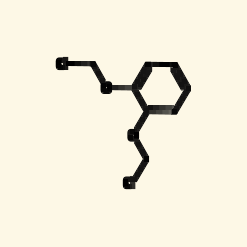 ClCOc1ccccc1OCCl